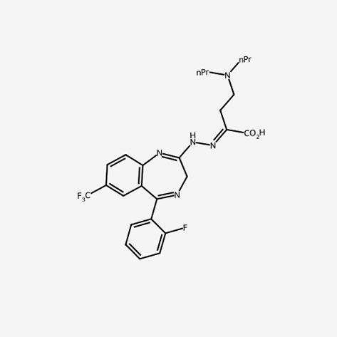 CCCN(CCC)CCC(=NNC1=Nc2ccc(C(F)(F)F)cc2C(c2ccccc2F)=NC1)C(=O)O